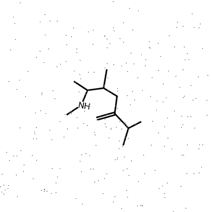 C=C(CC(C)C(C)NC)C(C)C